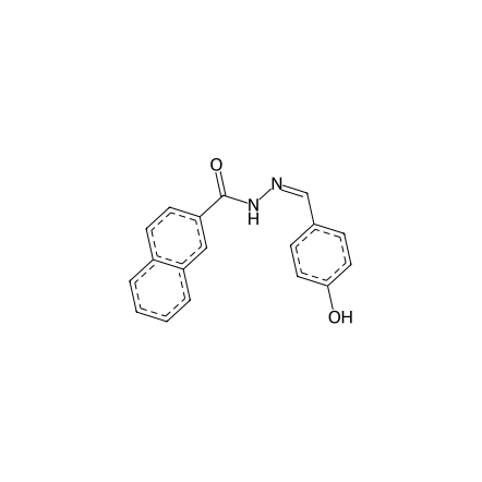 O=C(N/N=C\c1ccc(O)cc1)c1ccc2ccccc2c1